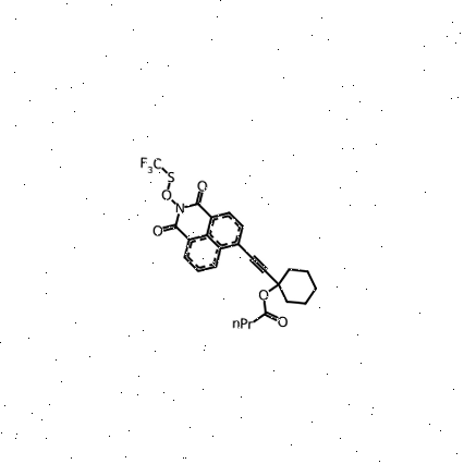 CCCC(=O)OC1(C#Cc2ccc3c4c(cccc24)C(=O)N(OSC(F)(F)F)C3=O)CCCCC1